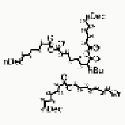 CCCCCCCCCCCCCCCC(=O)OC(=O)CCCCCC(CCCC)C(=O)OC(=O)CCCCCCCCCCCCCCC.CCCCCCCCCCCCCCCC(=O)OCCCCCCCC(C)C